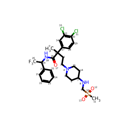 CC(CCN1CCC(NCS(C)(=O)=O)CC1)(C(=O)NC(c1ccccc1)C(F)(F)F)c1ccc(Cl)c(Cl)c1